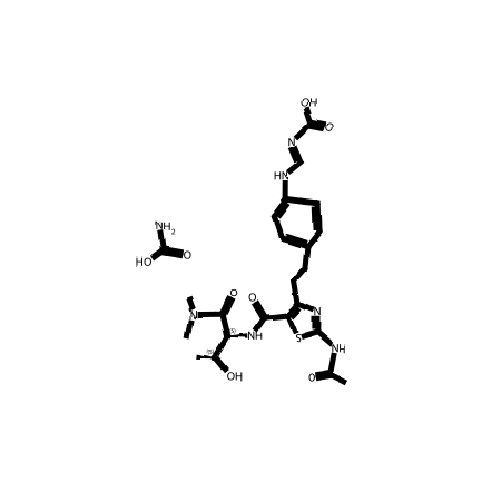 CC(=O)Nc1nc(CCc2ccc(NC=NC(=O)O)cc2)c(C(=O)N[C@H](C(=O)N(C)C)[C@H](C)O)s1.NC(=O)O